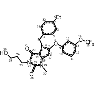 CCc1ccc(Cn2c(Oc3cccc(OC(F)(F)F)c3)nc3c2c(=O)n(CCCO)c(=O)n3C)cc1